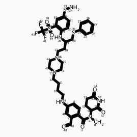 CN(C(=O)c1ccc(NCCCCN2CCN(CCC(CSc3ccccc3)Nc3ccc(SN)cc3S(=O)(=O)C(F)(F)F)CC2)cc1C=O)C1CCC(=O)NC1=O